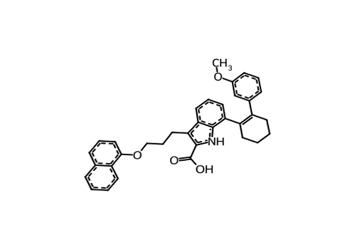 COc1cccc(C2=C(c3cccc4c(CCCOc5cccc6ccccc56)c(C(=O)O)[nH]c34)CCCC2)c1